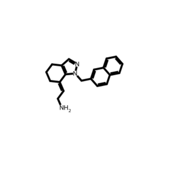 NC/C=C1\CCCc2cnn(Cc3ccc4ccccc4c3)c21